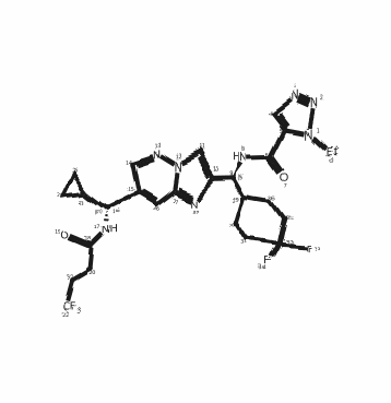 CCn1nncc1C(=O)N[C@H](c1cn2ncc([C@H](NC(=O)CCC(F)(F)F)C3CC3)cc2n1)C1CCC(F)(F)CC1